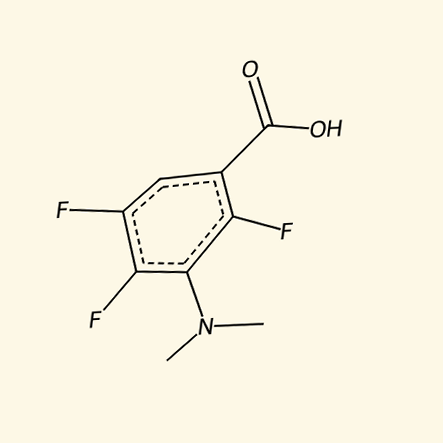 CN(C)c1c(F)c(F)cc(C(=O)O)c1F